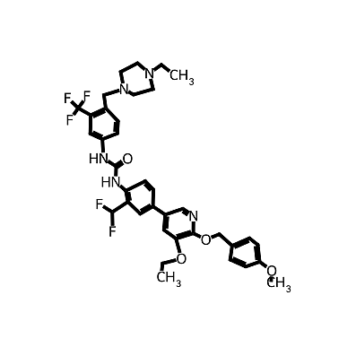 CCOc1cc(-c2ccc(NC(=O)Nc3ccc(CN4CCN(CC)CC4)c(C(F)(F)F)c3)c(C(F)F)c2)cnc1OCc1ccc(OC)cc1